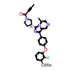 CC#CC(=O)N1CC[C@@H](c2nc(-c3ccc(Oc4cccc(OC)c4F)cc3)c3cncc(C)n23)C1